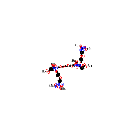 CC(C)(C)OC(=O)C[C@@H](C(=O)NCCOCCOCCOCCOCCNC(=O)[C@H](CC(=O)OC(C)(C)C)N(Cc1cccc(C(=O)OC(C)(C)C)c1)C(=O)OCc1ccc(OC(=O)c2ccc(NC(=NC(=O)OC(C)(C)C)NC(=O)OC(C)(C)C)cc2)cc1)N(Cc1cccc(C(=O)OC(C)(C)C)c1)C(=O)OCc1ccc(OC(=O)c2ccc(NC(=NC(=O)OC(C)(C)C)NC(=O)OC(C)(C)C)cc2)cc1